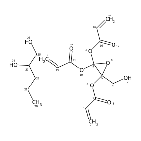 C=CC(=O)OC1(CO)OC1(OC(=O)C=C)OC(=O)C=C.CCCC(O)CO